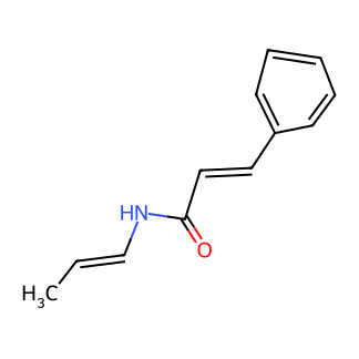 C/C=C/NC(=O)/C=C/c1ccccc1